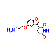 NCCCOc1ccc2occ(C3CCC(=O)NC3=O)c2c1